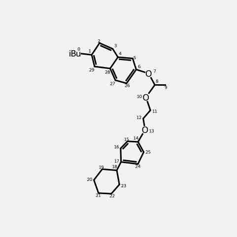 CCC(C)c1ccc2cc(OC(C)OCCOc3ccc(C4CCCCC4)cc3)ccc2c1